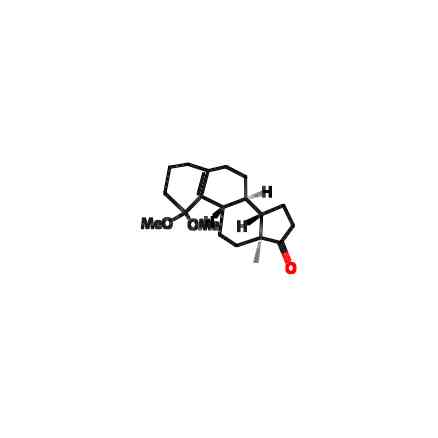 COC1(OC)CCCC2=C1[C@H]1CC[C@]3(C)C(=O)CC[C@H]3[C@@H]1CC2